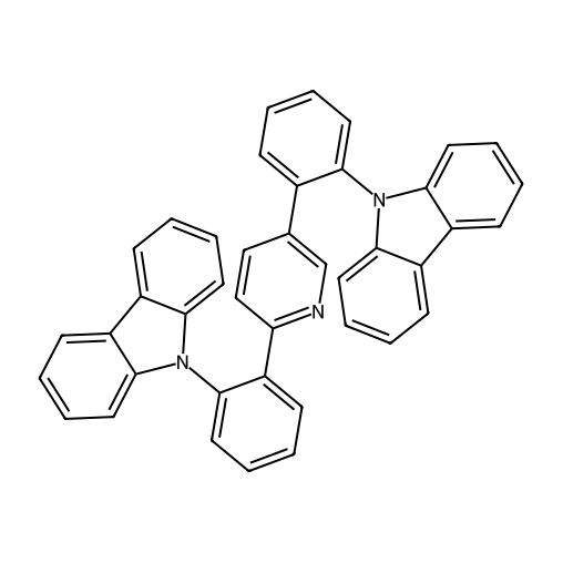 c1ccc(-n2c3ccccc3c3ccccc32)c(-c2ccc(-c3ccccc3-n3c4ccccc4c4ccccc43)nc2)c1